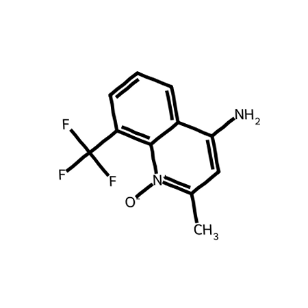 Cc1cc(N)c2cccc(C(F)(F)F)c2[n+]1[O-]